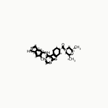 C[C@H]1CN(C(=O)[C@H]2CCc3c(sc4ncnc(Nc5cc6cn[nH]c6cc5Cl)c34)C2)C[C@H](C)O1